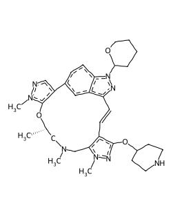 C[C@H]1CN(C)Cc2c(c(OC3CCNCC3)nn2C)/C=C/c2nn(C3CCCCO3)c3ccc(cc23)-c2cnn(C)c2O1